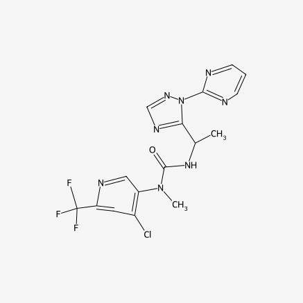 CC(NC(=O)N(C)c1cnc(C(F)(F)F)cc1Cl)c1ncnn1-c1ncccn1